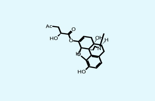 CC(=O)C[C@H](O)C(=O)OC1=CC[C@@]2(O)[C@H]3Cc4ccc(O)c5c4[C@@]2(CCN3C)[C@H]1O5